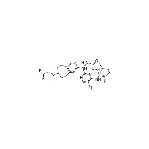 NC(=O)O[C@@H]1[C@H](Nc2nc(Nc3ccc4c(c3)CCC(NCC(F)F)CC4)ncc2Cl)[C@H]2C=C[C@@H]1C2